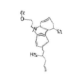 C=CCC(S)Cc1ccc2c(c1)c1c(n2CCOCC)C=CCC1CC